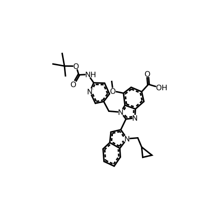 COc1cc(C(=O)O)cc2nc(-c3cc4ccccc4n3CC3CC3)n(Cc3ccc(NC(=O)OC(C)(C)C)nc3)c12